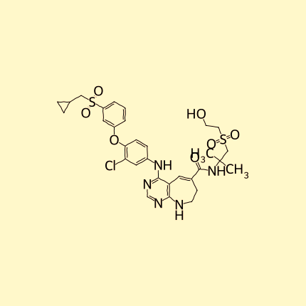 CC(C)(CS(=O)(=O)CCO)NC(=O)C1=Cc2c(ncnc2Nc2ccc(Oc3cccc(S(=O)(=O)CC4CC4)c3)c(Cl)c2)NCC1